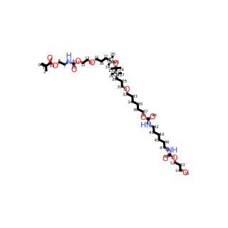 C=C(C)C(=O)OCCNC(=O)OCCOCCC[Si](C)(C)OC(C)(C)[Si](C)(C)CCCOCCCCCCOC(=O)NCCCCCCNC(=O)OCCC=O